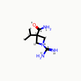 CC(C)C1(C(N)=O)CN(C(=N)N)C1